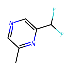 Cc1cncc([C](F)F)n1